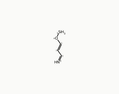 N=CC=CO[SiH3]